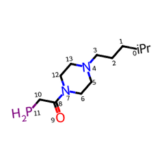 CC(C)CCCN1CCN(C(=O)CP)CC1